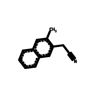 Cc1cc2ccccc2cc1CC#N